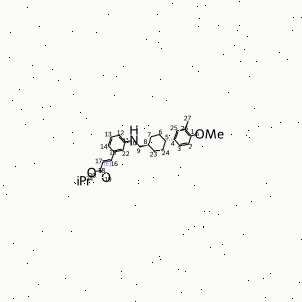 COc1ccc([C@H]2CC[C@H](CNc3cccc(/C=C/C(=O)OC(C)C)c3)CC2)cc1C